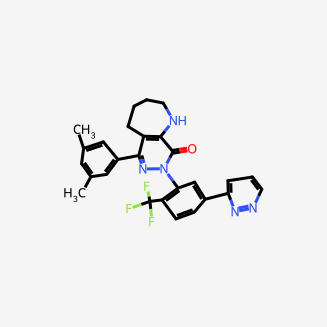 Cc1cc(C)cc(-c2nn(-c3cc(-c4cccnn4)ccc3C(F)(F)F)c(=O)c3c2CCCCN3)c1